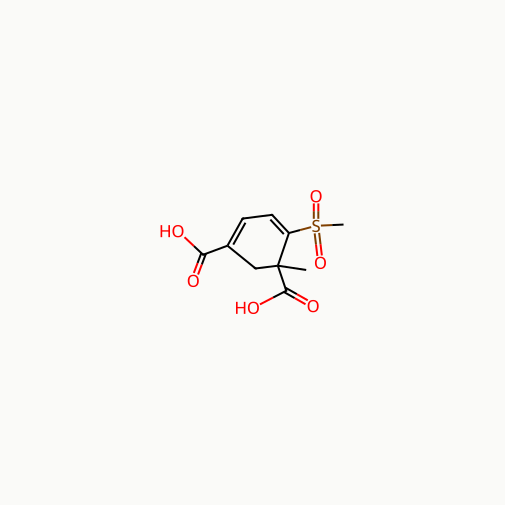 CC1(C(=O)O)CC(C(=O)O)=CC=C1S(C)(=O)=O